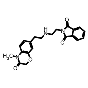 CN1C(=O)COc2cc(CCNCCN3C(=O)c4ccccc4C3=O)ccc21